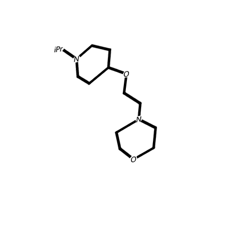 CC(C)N1CCC(OCCN2CCOCC2)CC1